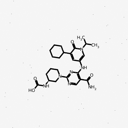 CC(C)n1cc(Nc2nc(N3CCC[C@H](NC(=O)O)C3)ncc2C(N)=O)cc(C2CCCCC2)c1=O